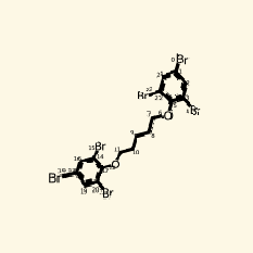 Brc1cc(Br)c(OCCCCCOc2c(Br)cc(Br)cc2Br)c(Br)c1